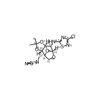 CC1(C)O[C@@H]2[C@@H](Nc3nc(Cl)ns3)[C@@H]3OC[C@](CN=[N+]=[N-])(O3)[C@@H]2O1